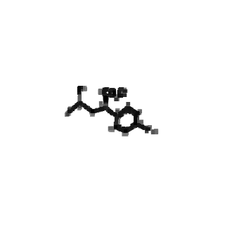 CCOC(=O)[C@H](CC(F)F)c1ccc(F)cc1